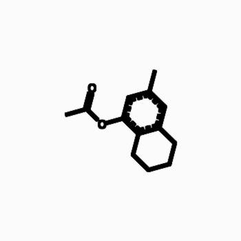 CC(=O)Oc1cc(C)cc2c1CCCC2